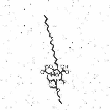 CCCCCCCSCCCCCCC=C[C@H](C(=O)N[C@@H](Cc1ccc(OCCCC)cc1)C(=O)OC)[C@@](O)(CC(F)F)C(=O)O